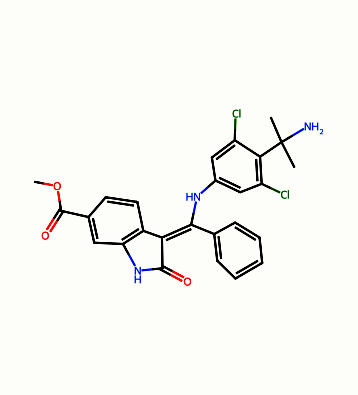 COC(=O)c1ccc2c(c1)NC(=O)C2=C(Nc1cc(Cl)c(C(C)(C)N)c(Cl)c1)c1ccccc1